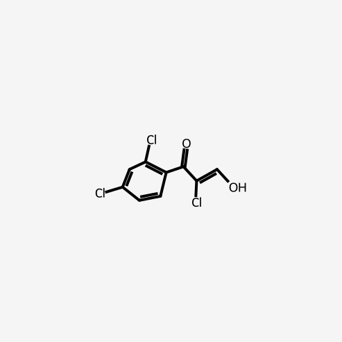 O=C(C(Cl)=CO)c1ccc(Cl)cc1Cl